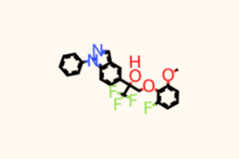 COc1cccc(F)c1OCC(O)(c1ccc2c(cnn2-c2ccccc2)c1)C(F)(F)F